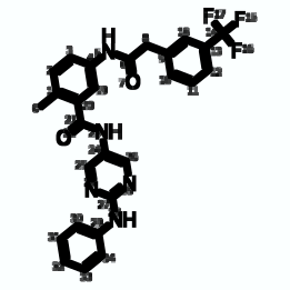 Cc1ccc(NC(=O)Cc2cccc(C(F)(F)F)c2)cc1C(=O)Nc1cnc(Nc2ccccc2)nc1